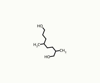 CC(CO)CCC(C)CCCO